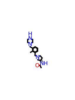 CC(=O)N[C@@H]1CCN(Cc2cccc(CN3CCNCC3)c2C)C1